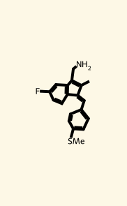 CSc1ccc(/C=C2/C(C)=C(CN)c3cc(F)ccc32)cc1